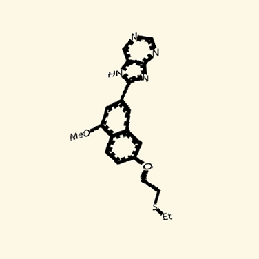 CCSCCOc1ccc2c(OC)cc(-c3nc4ncncc4[nH]3)cc2c1